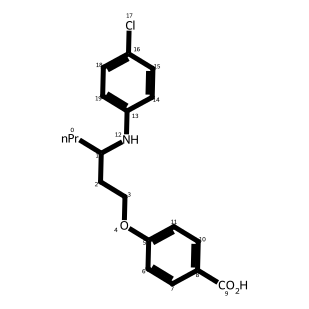 CCCC(CCOc1ccc(C(=O)O)cc1)Nc1ccc(Cl)cc1